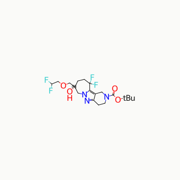 CC(C)(C)OC(=O)N1CCc2nn3c(c2C1)C(F)(F)CC[C@](O)(COCC(F)F)C3